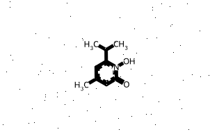 Cc1cc(C(C)C)n(O)c(=O)c1